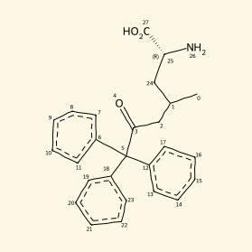 CC(CC(=O)C(c1ccccc1)(c1ccccc1)c1ccccc1)C[C@@H](N)C(=O)O